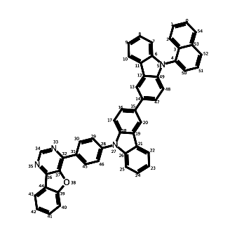 c1ccc2c(-n3c4ccccc4c4cc(-c5ccc6c(c5)c5ccccc5n6-c5ccc(-c6ncnc7c6oc6ccccc67)cc5)ccc43)cccc2c1